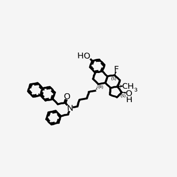 C[C@]12C[C@H](F)C3c4ccc(O)cc4C[C@@H](CCCCCN(Cc4ccccc4)C(=O)Cc4ccc5ccccc5c4)C3C1CC[C@@H]2O